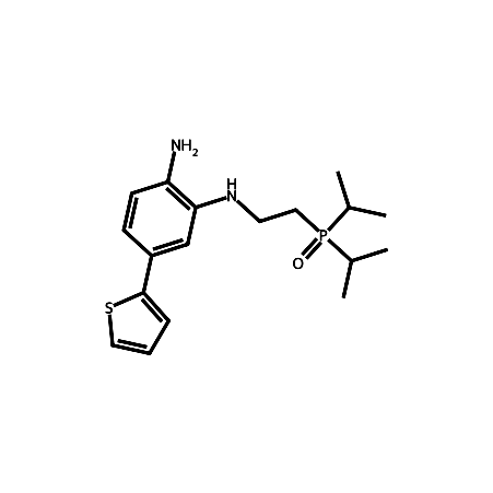 CC(C)P(=O)(CCNc1cc(-c2cccs2)ccc1N)C(C)C